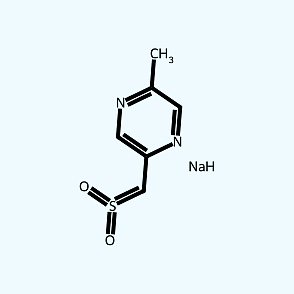 Cc1cnc(C=S(=O)=O)cn1.[NaH]